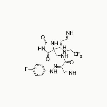 N=C/C=C(\NCC(F)(F)F)C1(CNC(=O)/C(C=N)=N/Nc2ccc(F)cc2)NC(=O)NC1=O